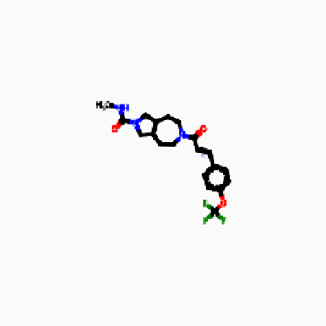 CNC(=O)N1CC2CCN(C(=O)/C=C/c3ccc(OC(F)(F)F)cc3)CCC2C1